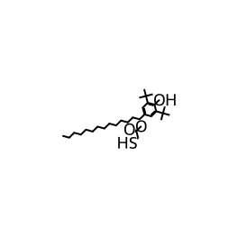 CCCCCCCCCCCCCC(OC(=O)CS)c1cc(C(C)(C)C)c(O)c(C(C)(C)C)c1